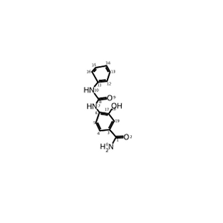 NC(=O)c1ccc(NC(=O)Nc2ccccc2)c(O)c1